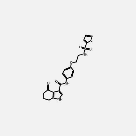 O=C(Nc1ccc(OCCNS(=O)(=O)c2cccs2)cc1)c1c[nH]c2c1C(=O)CCC2